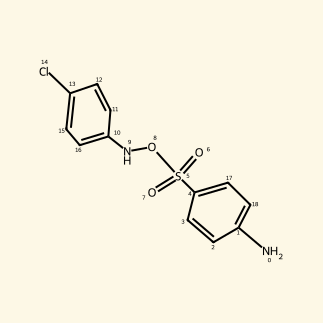 Nc1ccc(S(=O)(=O)ONc2ccc(Cl)cc2)cc1